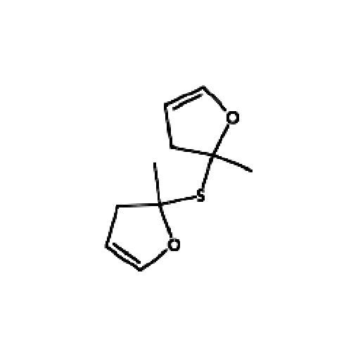 CC1(SC2(C)CC=CO2)CC=CO1